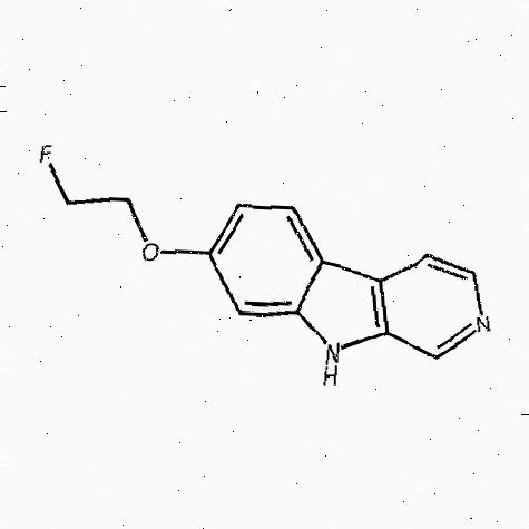 FCCOc1ccc2c(c1)[nH]c1cnccc12